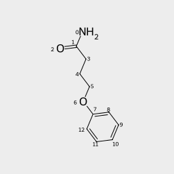 NC(=O)CCCOc1ccccc1